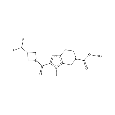 Cn1c(C(=O)N2CC(C(F)F)C2)cc2c1CN(C(=O)OC(C)(C)C)CC2